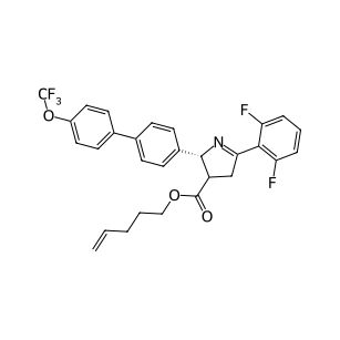 C=CCCCOC(=O)C1CC(c2c(F)cccc2F)=N[C@H]1c1ccc(-c2ccc(OC(F)(F)F)cc2)cc1